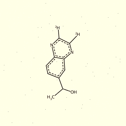 [2H]c1nc2ccc(C(C)O)cc2nc1[2H]